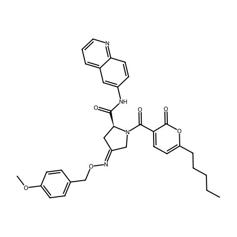 CCCCCc1ccc(C(=O)N2C/C(=N/OCc3ccc(OC)cc3)C[C@H]2C(=O)Nc2ccc3ncccc3c2)c(=O)o1